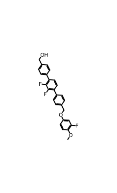 COc1ccc(OCc2ccc(-c3ccc(-c4ccc(CO)cc4)c(F)c3F)cc2)cc1F